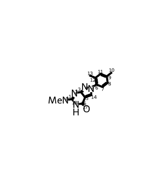 CNc1nc2nn(-c3ccc(C)cc3C)cc2c(=O)[nH]1